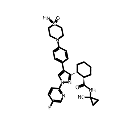 N#CC1(NC(=O)[C@@H]2CCCC[C@H]2c2nn(-c3ccc(F)cn3)cc2-c2ccc(N3CCS(=N)(=O)CC3)cc2)CC1